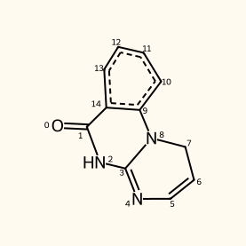 O=C1NC2=NC=CCN2c2ccccc21